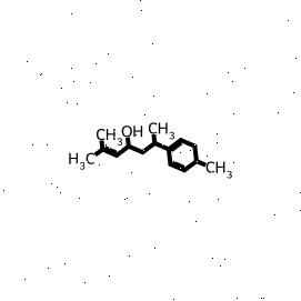 CC(C)=CC(O)CC(C)C1=CCC(C)C=C1